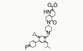 COC(=O)[C@H]1CCC2=C(CCN(C3CCN(C[C@@H]4C[C@H](C5CC5)C(C5=CC[C@H](F)CC5)=C[C@@H]4CC(C)C)CC3)C2=O)N1